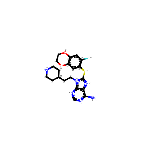 Nc1ncnc2c1nc(Sc1cc3c(cc1F)OCCO3)n2CCC1CCNCC1